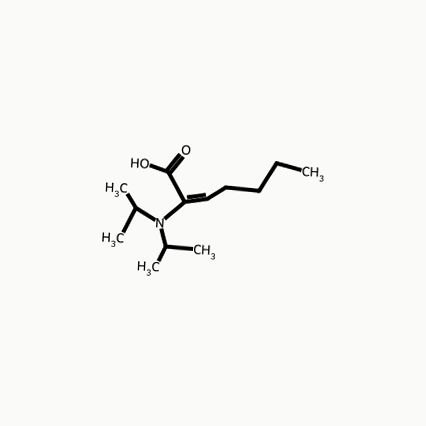 CCCC/C=C(\C(=O)O)N(C(C)C)C(C)C